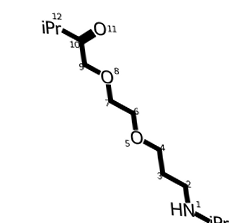 CC(C)NCCCOCCOCC(=O)C(C)C